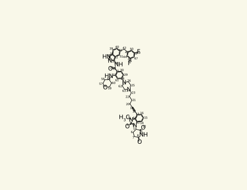 Cn1c(=O)n(C2CCC(=O)NC2=O)c2cccc(C#CCCCCN3CCN(c4ccc(C(=O)Nc5n[nH]c6ccc(Cc7cc(F)cc(F)c7)cc56)c(NC5CCOCC5)c4)CC3)c21